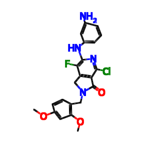 COc1ccc(CN2Cc3c(F)c(Nc4cccc(N)c4)nc(Cl)c3C2=O)c(OC)c1